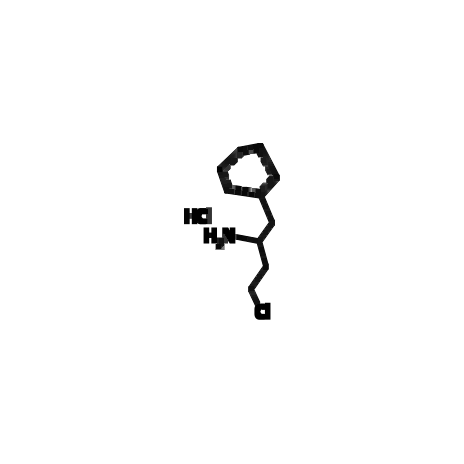 Cl.NC(CCCl)Cc1ccccc1